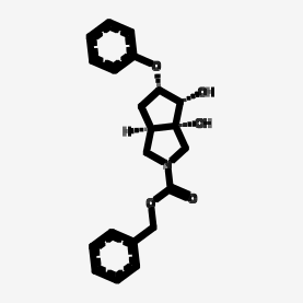 O=C(OCc1ccccc1)N1C[C@H]2C[C@H](Oc3ccccc3)[C@H](O)[C@@]2(O)C1